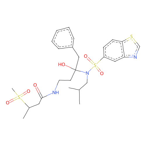 CC(C)CN(C(O)(CCNC(=O)CC(C)S(C)(=O)=O)Cc1ccccc1)S(=O)(=O)c1ccc2scnc2c1